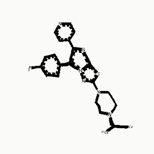 O=C(O)N1CCN(c2nn3c(-c4ccc(F)cc4)c(-c4ccncc4)nc3s2)CC1